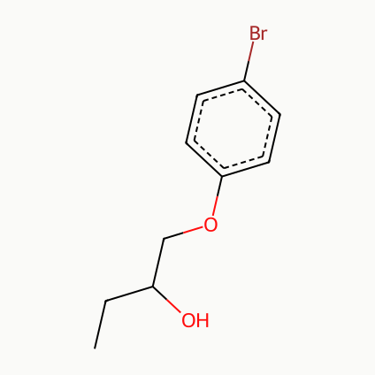 CCC(O)COc1ccc(Br)cc1